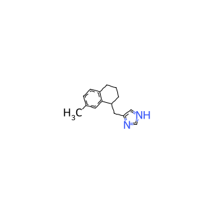 Cc1ccc2c(c1)C(Cc1c[nH]cn1)CCC2